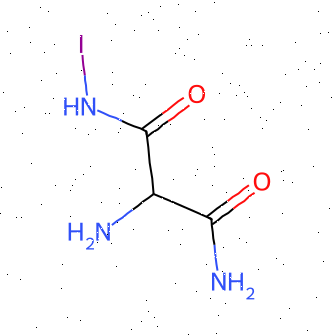 NC(=O)C(N)C(=O)NI